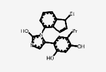 CCC1C=Cc2c1cccc2-n1c(-c2cc(C(C)C)c(O)cc2O)cnc1O